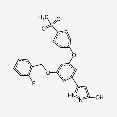 CS(=O)(=O)c1ccc(Oc2cc(OCc3ccccc3F)cc(-c3cc(O)n[nH]3)c2)cc1